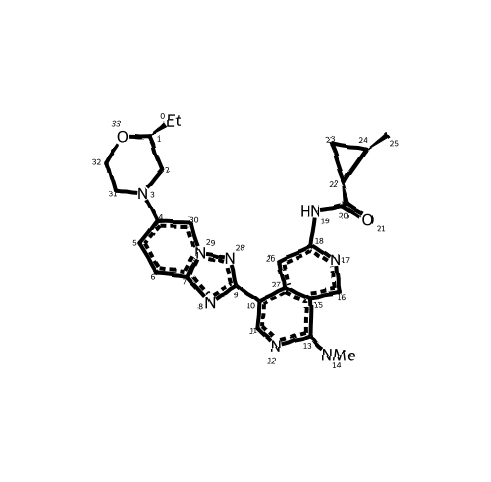 CC[C@H]1CN(c2ccc3nc(-c4cnc(NC)c5cnc(NC(=O)[C@H]6C[C@H]6C)cc45)nn3c2)CCO1